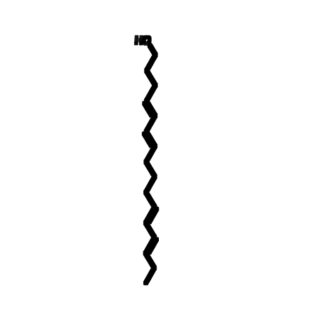 CC/C=C/C=C/CCC/C=C/C=C/CCCO